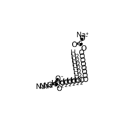 O.O.O.O.O.O.O.O.O.O.O.O.O.O.O=S([O-])[O-].O=S([O-])[O-].[Na+].[Na+].[Na+].[Na+]